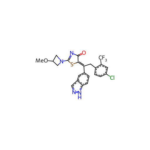 COC1CN(C2=NC(=O)C(=C(Cc3ccc(Cl)cc3C(F)(F)F)c3ccc4[nH]ncc4c3)S2)C1